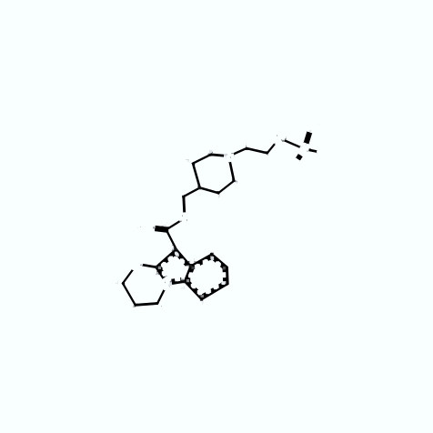 CS(=O)(=O)NCCN1CCC(CNC(=O)c2c3n(c4ccccc24)CCCO3)CC1